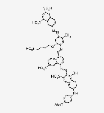 COc1ccc(Nc2ccc3c(O)c(N=Nc4ccc(N=Nc5cc(C)c(N=Nc6ccc7cc(S(=O)(=O)O)cc(S(=O)(=O)O)c7c6)cc5OCCCCS(=O)(=O)O)c5ccc(S(=O)(=O)O)cc45)c(S(=O)(=O)O)cc3c2)cc1